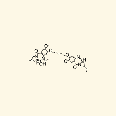 C=C1C[C@H]2C(O)N(C(C)C)c3cc(OCCCCCOc4cc5c(cc4OC)C(=O)N4CC(=CC)C[C@H]4C=N5)c(OC)cc3C(=O)N2C1